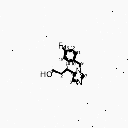 OCCCc1cncn1Cc1ccc(F)cc1